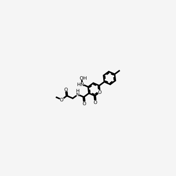 COC(=O)CNC(=O)c1c(NO)cc(-c2ccc(C)cc2)oc1=O